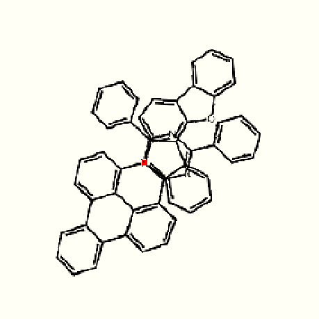 c1ccc(-c2nc(-c3ccccc3)nc(-c3cccc4c5ccccc5c5cccc(-n6c7ccccc7c7c8oc9ccccc9c8ccc76)c5c34)n2)cc1